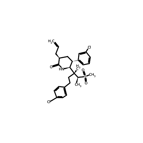 C=CC[C@H]1C[C@H](c2cccc(Cl)c2)[C@@H]([C@@](C)(CCc2ccc(Cl)cc2)[C@H](C)S(C)(=O)=O)NC1=O